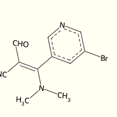 CN(C)C(=C(C#N)C=O)c1cncc(Br)c1